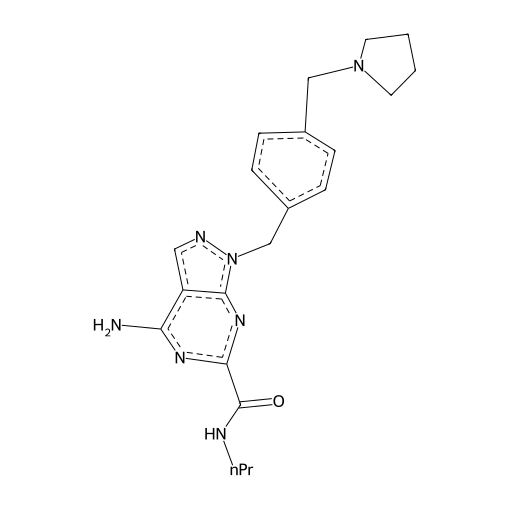 CCCNC(=O)c1nc(N)c2cnn(Cc3ccc(CN4CCCC4)cc3)c2n1